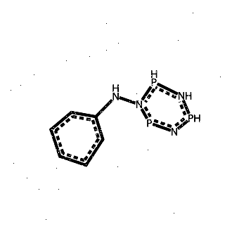 c1ccc(Nn2pn[pH][nH][pH]2)cc1